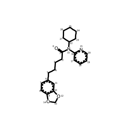 O=C(CCCCc1ccc2c(c1)OCO2)N(c1ccccn1)C1CCCCC1